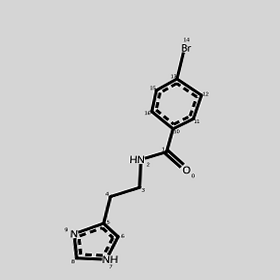 O=C(NCCc1c[nH]cn1)c1ccc(Br)cc1